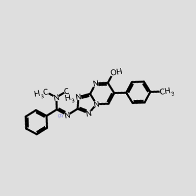 Cc1ccc(-c2cn3nc(/N=C(/c4ccccc4)N(C)C)nc3nc2O)cc1